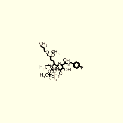 CCCCOC[C@H](CCC(c1nc(C(=O)NCc2ccc(F)cc2)c(O)c(=O)[nH]1)N(CC)C(=O)OC(C)(C)C)OC